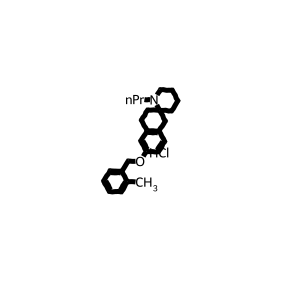 CCCN1CCCCC12CCc1cc(OCc3ccccc3C)ccc1C2.Cl